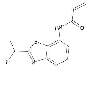 C=CC(=O)Nc1cccc2nc(C(C)F)sc12